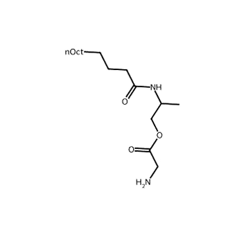 CCCCCCCCCCCC(=O)NC(C)COC(=O)CN